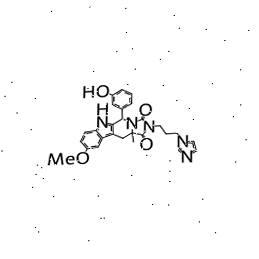 COc1ccc2[nH]c3c(c2c1)CC1(C)C(=O)N(CCCn2ccnc2)C(=O)N1C3c1cccc(O)c1